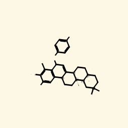 Cc1c(O)c(O)cc2c1C(Sc1ccc(F)cc1)C=C1[C@@]2(C)CC[C@@]2(C)[C@@H]3CC(C)(C)CC[C@]3(C)CC[C@]12C